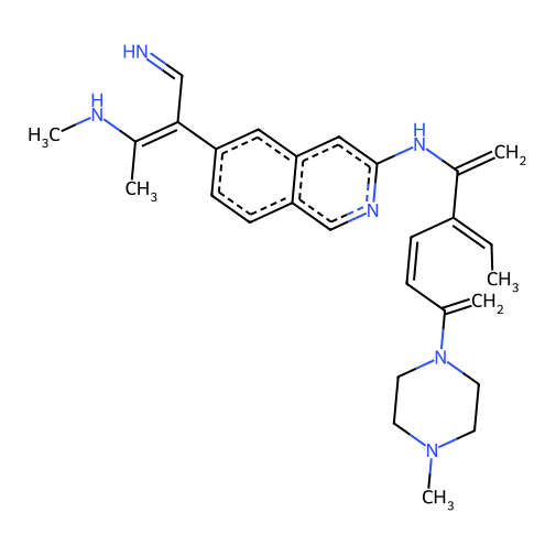 C=C(Nc1cc2cc(/C(C=N)=C(\C)NC)ccc2cn1)C(/C=C\C(=C)N1CCN(C)CC1)=C/C